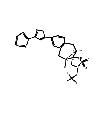 O=S1(=O)N[C@@]2(CN1CC(F)(F)F)[C@@H]1CC[C@H]2Cc2ccc(-c3cc(-c4ccccn4)no3)cc2C1